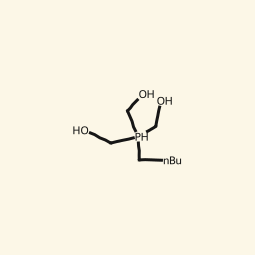 CCCCC[PH](CO)(CO)CO